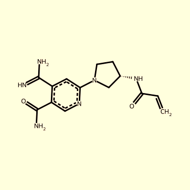 C=CC(=O)N[C@H]1CCN(c2cc(C(=N)N)c(C(N)=O)cn2)C1